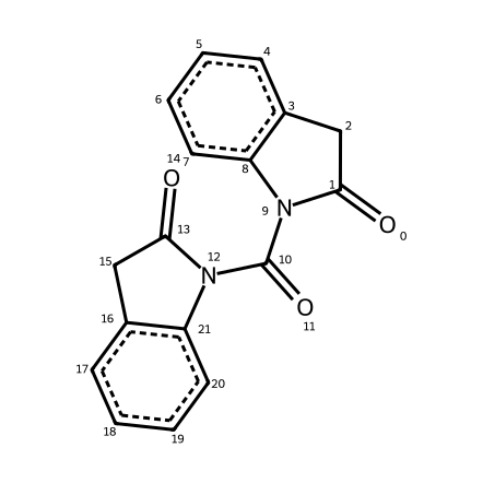 O=C1Cc2ccccc2N1C(=O)N1C(=O)Cc2ccccc21